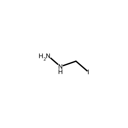 NNCI